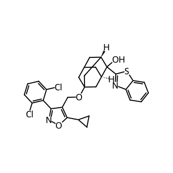 OC1(c2nc3ccccc3s2)[C@@H]2CC3C[C@H]1CC(OCc1c(-c4c(Cl)cccc4Cl)noc1C1CC1)(C3)C2